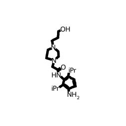 CC(C)c1ccc(N)c(C(C)C)c1NC(=O)CN1CCN(CCCO)CC1